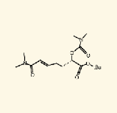 CN(C)C(=O)/C=C/CC[C@H](OC(=O)N(C)C)C(=O)OC(C)(C)C